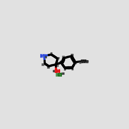 CSc1ccc(C2(O)CCNCC2)cc1.Cl